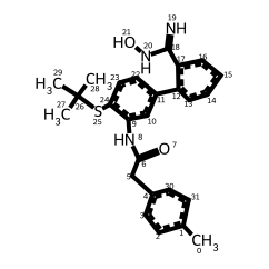 Cc1ccc(CC(=O)Nc2cc(-c3ccccc3C(=N)NO)ccc2SC(C)(C)C)cc1